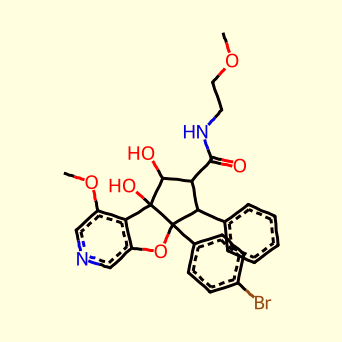 COCCNC(=O)C1C(O)C2(O)c3c(OC)cncc3OC2(c2ccc(Br)cc2)C1c1ccccc1